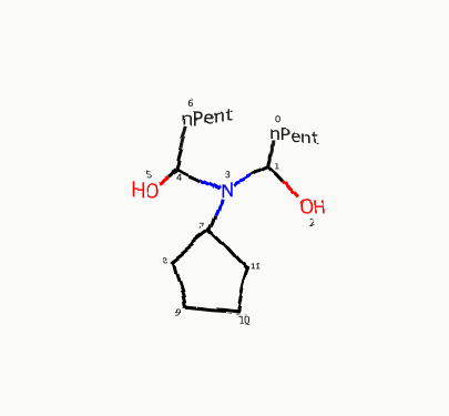 CCCCCC(O)N(C(O)CCCCC)C1CCCC1